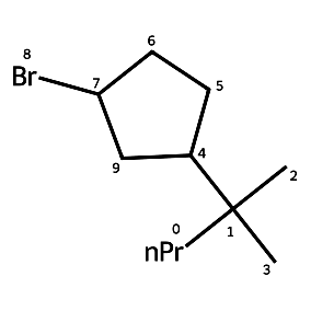 CCCC(C)(C)C1CCC(Br)C1